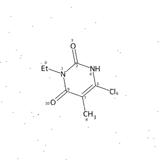 CCn1c(=O)[nH]c(Cl)c(C)c1=O